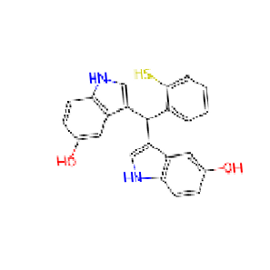 Oc1ccc2[nH]cc(C(c3ccccc3S)c3c[nH]c4ccc(O)cc34)c2c1